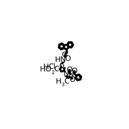 Cc1cn([C@@H]2C[C@H](C(=O)O)N(CCNC(=O)OCC3c4ccccc4-c4ccccc43)C2)c(=O)n(C(=O)c2ccccc2)c1=O.Cl